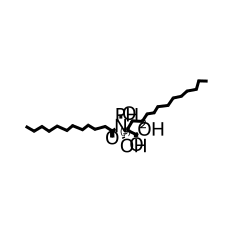 CCCCCCCCCCCC(=O)N(P)[C@](CO)(C(=O)O)C(=O)CCCCCCCCCCC